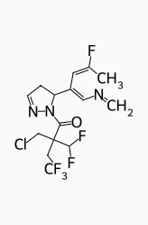 C=N/C=C(\C=C(/C)F)C1CC=NN1C(=O)C(CCl)(CC(F)(F)F)C(F)F